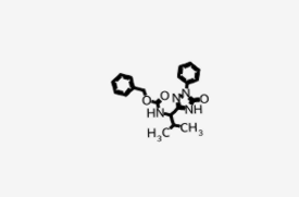 CC(C)C(NC(=O)OCc1ccccc1)c1nn(-c2ccccc2)c(=O)[nH]1